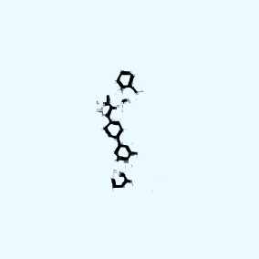 Cc1noc(-c2ccc(-c3cc(F)c(Oc4ncccc4C(=O)O)c(F)c3)cc2)c1NC(=O)O[C@H](C)c1ccccc1